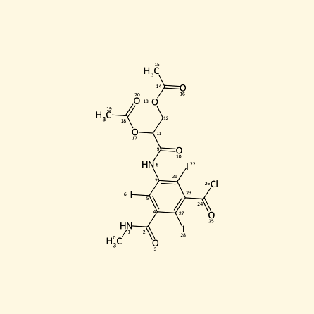 CNC(=O)c1c(I)c(NC(=O)C(COC(C)=O)OC(C)=O)c(I)c(C(=O)Cl)c1I